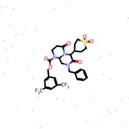 O=C1C(C2CCS(=O)(=O)CC2)N2C(=O)CCN(C(=O)OCc3cc(C(F)(F)F)cc(C(F)(F)F)c3)C2CN1Cc1ccccc1